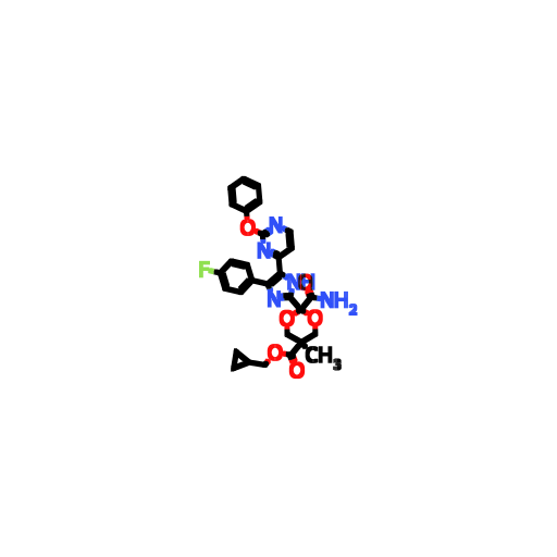 CC1(C(=O)OCC2CC2)COC(C(N)=O)(c2nc(-c3ccc(F)cc3)c(-c3ccnc(Oc4ccccc4)n3)[nH]2)OC1